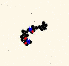 c1ccc(-c2cc(-c3ccc(-c4ccc(-c5c6ccccc6c(-c6nc7ccc(-c8ccc(-c9c(-c%10ccccc%10)cc(-c%10cccc(-c%11cccc(-c%12c%13ccccc%13c(-c%13nc%14ccccc%14n%13-c%13ccccc%13)c%13ccccc%12%13)c%11)c%10)c(-c%10ccccc%10)c9-c9ccccc9)cc8)cc7n6-c6ccccc6)c6ccccc56)cc4)cc3)c(-c3ccccc3)c(-c3ccccc3)c2-c2ccccc2)cc1